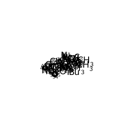 C=C(C)[C@@H](C(=O)N[C@H](C(=O)N(C)[C@@H]([C@@H](C)CC)[C@@H](CC(=O)N1CCC[C@H]1[C@H](OC)[C@@H](C)C(=O)N[C@@H](Cc1ccccc1)c1nccs1)OC)C(C)N=[N+]=[N-])N(C)C